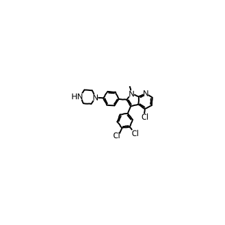 Cn1c(-c2ccc(N3CCNCC3)cc2)c(-c2ccc(Cl)c(Cl)c2)c2c(Cl)ccnc21